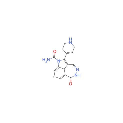 NC(=O)N1C2=C[C]C=C3C(=O)NN=CC(=C1C1=CCNCC1)C32